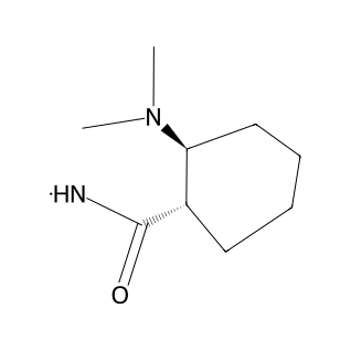 CN(C)[C@H]1CCCC[C@@H]1C([NH])=O